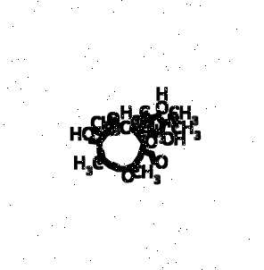 CCC1OC(=O)CC(O)C(C)C(OC2OC(C)C(O)C(N(C)C)C2O)C(CC=O)CC(C)C(=O)/C=C\C(C)=C/C1CO